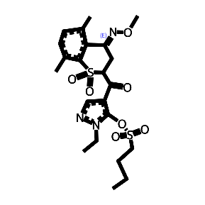 CCCCS(=O)(=O)Oc1c(C(=O)C2C/C(=N\OC)c3c(C)ccc(C)c3S2(=O)=O)cnn1CC